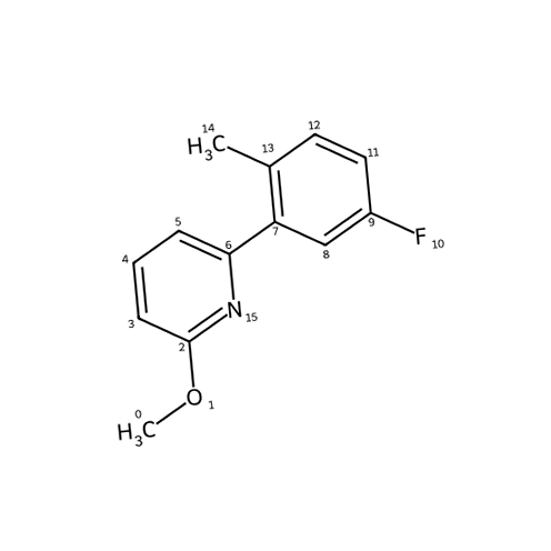 COc1cccc(-c2cc(F)ccc2C)n1